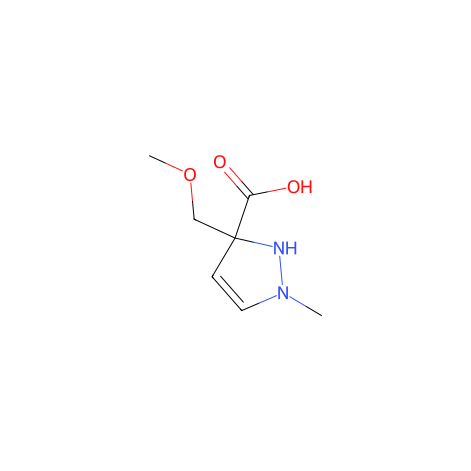 COCC1(C(=O)O)C=CN(C)N1